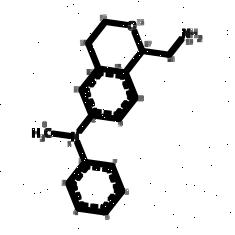 CN(c1ccccc1)c1ccc2c(c1)CCOC2CN